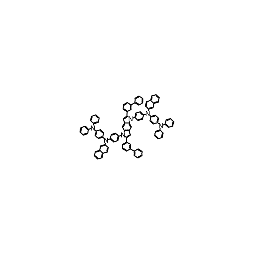 c1ccc(-c2cccc(-c3cc4cc5c(cc(-c6cccc(-c7ccccc7)c6)n5-c5ccc(N(c6ccc(N(c7ccccc7)c7ccccc7)cc6)c6ccc7ccccc7c6)cc5)cc4n3-c3ccc(N(c4ccc(N(c5ccccc5)c5ccccc5)cc4)c4ccc5ccccc5c4)cc3)c2)cc1